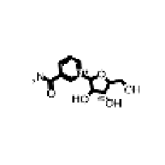 NC(=O)c1ccc[n+](C2OC(CO)[C@H](O)C2O)c1